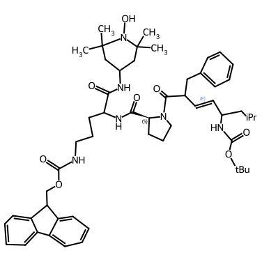 CC(C)CC(/C=C/C(Cc1ccccc1)C(=O)N1CCC[C@H]1C(=O)NC(CCCNC(=O)OCC1c2ccccc2-c2ccccc21)C(=O)NC1CC(C)(C)N(O)C(C)(C)C1)NC(=O)OC(C)(C)C